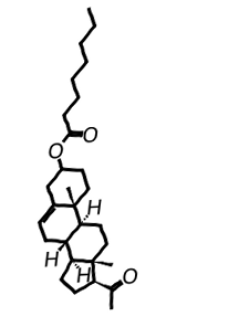 CCCCCCCC(=O)OC1CC[C@@]2(C)C(=CC[C@H]3[C@@H]4CC[C@H](C(C)=O)[C@@]4(C)CC[C@@H]32)C1